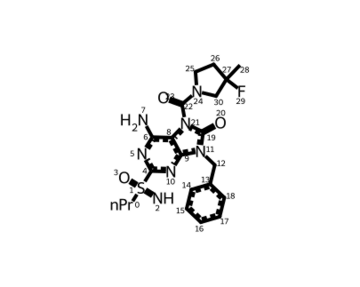 CCCS(=N)(=O)c1nc(N)c2c(n1)n(Cc1ccccc1)c(=O)n2C(=O)N1CCC(C)(F)C1